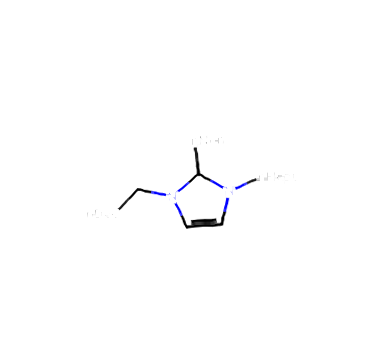 CCCCCCCCCCCN1C=CN(CCCCCCC)C1CCCCCCCCC